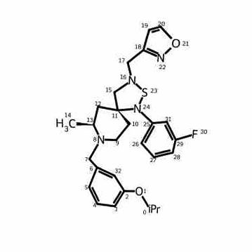 CC(C)Oc1cccc(CN2CC[C@@]3(C[C@@H]2C)CN(Cc2ccon2)SN3c2cccc(F)c2)c1